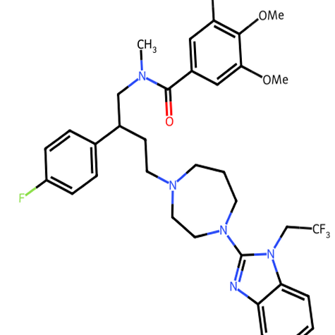 COc1cc(C(=O)N(C)CC(CCN2CCCN(c3nc4ccccc4n3CC(F)(F)F)CC2)c2ccc(F)cc2)cc(OC)c1OC